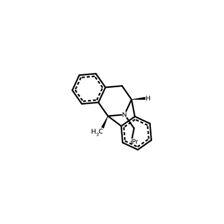 CC(C)CN1[C@@H]2Cc3ccccc3[C@@]1(C)c1ccccc12